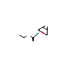 CCOC(=O)N1CC2CCC1C1OC21